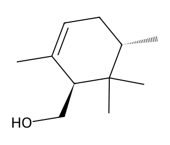 CC1=CC[C@H](C)C(C)(C)[C@H]1CO